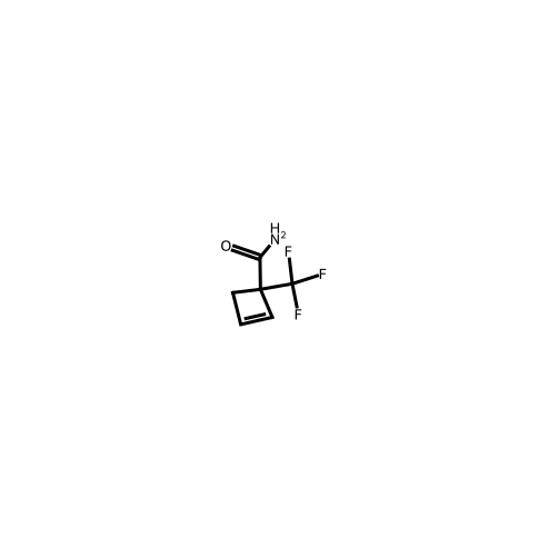 NC(=O)C1(C(F)(F)F)C=CC1